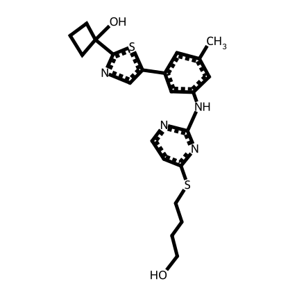 Cc1cc(Nc2nccc(SCCCCO)n2)cc(-c2cnc(C3(O)CCC3)s2)c1